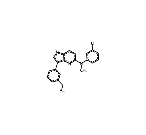 CN(c1cccc(Cl)c1)c1ccc2ncc(-c3cccc(CO)c3)n2n1